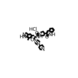 Cc1cc(C[C@@H](NC(=O)N2CCC(c3cc4ccccc4[nH]c3=O)CC2)C(=O)N2CCN(C3CCN(C)CC3)CC2)cc2cn[nH]c12.Cl